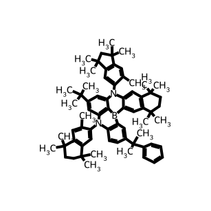 Cc1cc2c(cc1N1c3ccc(C(C)(C)c4ccccc4)cc3B3c4cc5c(cc4N(c4cc6c(cc4C)C(C)(C)CC6(C)C)c4cc(C(C)(C)C)cc1c43)C(C)(C)CCC5(C)C)C(C)(C)CCC2(C)C